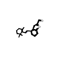 CC1=C(/C=C/c2cccc3oc(C=O)cc23)C(C)(C)CCC1